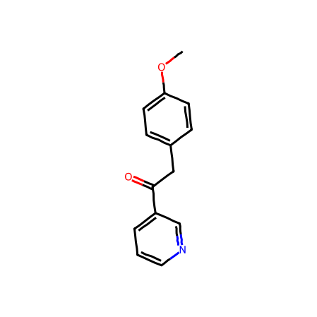 COc1ccc(CC(=O)c2cccnc2)cc1